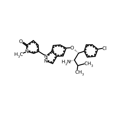 CC(C)[C@H](N)[C@H](Oc1ccc2c(cnn2-c2ccc(=O)n(C)c2)c1)c1ccc(Cl)cc1